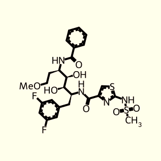 COCC[C@@H](NC(=O)c1ccccc1)[C@@H](O)[C@H](O)[C@H](Cc1cc(F)cc(F)c1)NC(=O)c1csc(NS(C)(=O)=O)n1